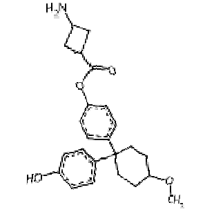 COC1CCC(c2ccc(O)cc2)(c2ccc(OC(=O)C3CC(N)C3)cc2)CC1